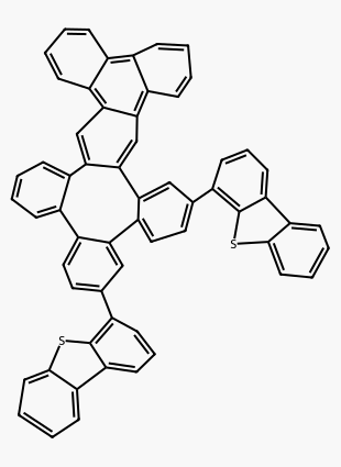 c1ccc2c(c1)-c1ccc(-c3cccc4c3sc3ccccc34)cc1-c1ccc(-c3cccc4c3sc3ccccc34)cc1-c1cc3c4ccccc4c4ccccc4c3cc1-2